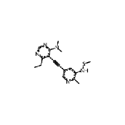 CCc1ncnc(N(C)C)c1C#Cc1cnc(C)c(NSC)c1